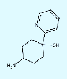 NC1CCC(O)(c2ccccn2)CC1